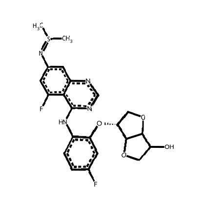 CS(C)=Nc1cc(F)c2c(Nc3ccc(F)cc3O[C@@H]3COC4C(O)COC43)ncnc2c1